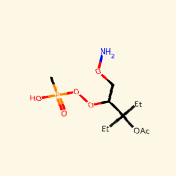 CCC(CC)(OC(C)=O)C(CON)OOP(C)(=O)O